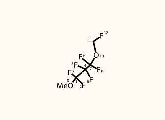 COC(F)(F)C(F)(F)C(F)(F)OCF